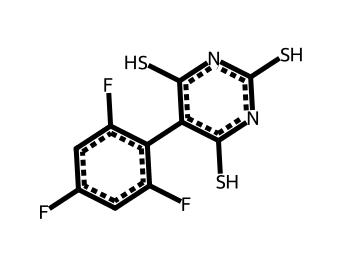 Fc1cc(F)c(-c2c(S)nc(S)nc2S)c(F)c1